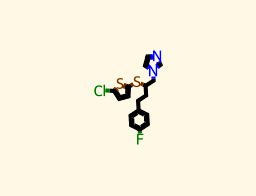 Fc1ccc(CCC(Cn2ccnc2)Sc2ccc(Cl)s2)cc1